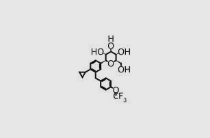 OC[C@H]1O[C@@H](c2ccc(C3CC3)c(Cc3ccc(OC(F)(F)F)cc3)c2)[C@H](O)[C@@H](O)[C@@H]1O